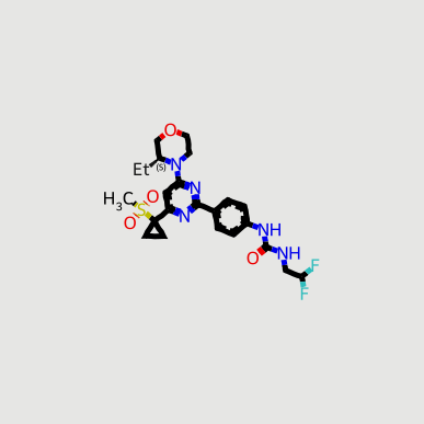 CC[C@H]1COCCN1c1cc(C2(S(C)(=O)=O)CC2)nc(-c2ccc(NC(=O)NCC(F)F)cc2)n1